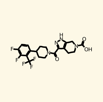 O=C(O)N1CCc2c(C(=O)N3CCC(c4ccc(F)c(F)c4C(F)(F)F)CC3)n[nH]c2C1